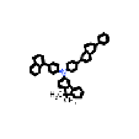 CC1(C)c2ccccc2-c2cc(N(c3ccc(-c4ccc5cc(-c6ccccc6)ccc5c4)cc3)c3ccc(-c4cccc5ccccc45)cc3)ccc21